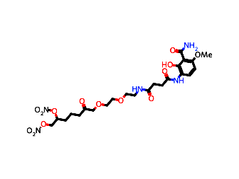 COc1ccc(NC(=O)CCC(=O)NCCOCCOCC(=O)CCCC(CO[N+](=O)[O-])O[N+](=O)[O-])c(O)c1C(N)=O